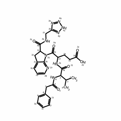 CC(C)C(NC(=O)Cc1ccccc1)C(=O)NC(CCC(=O)O)C(=O)N1c2ncccc2CC1C(=O)NCc1nn[nH]n1